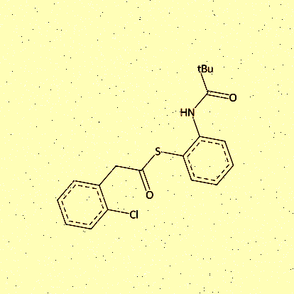 CC(C)(C)C(=O)Nc1ccccc1SC(=O)Cc1ccccc1Cl